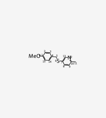 COc1ccc(CSc2ccc(C)nc2)cc1